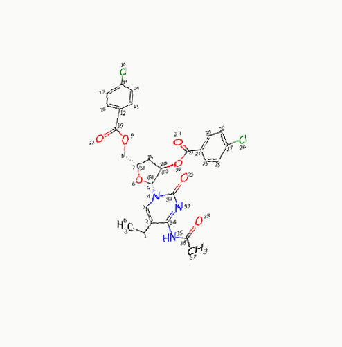 CCc1cn([C@@H]2O[C@H](COC(=O)c3ccc(Cl)cc3)C[C@H]2OC(=O)c2ccc(Cl)cc2)c(=O)nc1NC(C)=O